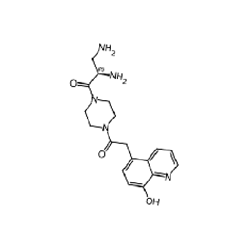 NC[C@@H](N)C(=O)N1CCN(C(=O)Cc2ccc(O)c3ncccc23)CC1